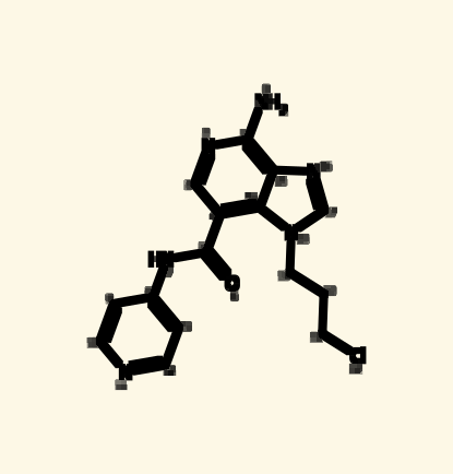 Nc1ncc(C(=O)Nc2ccncc2)c2c1ncn2CCCCl